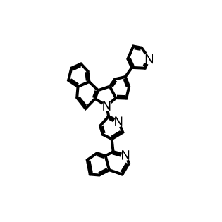 c1cncc(-c2ccc3c(c2)c2c4ccccc4ccc2n3-c2ccc(-c3nccc4ccccc34)cn2)c1